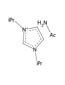 CC(C)n1cc[n+](C(C)C)c1.CC(N)=O